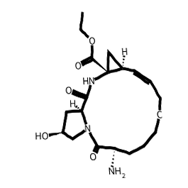 CCOC(=O)[C@@]12C[C@H]1/C=C\CCCCC[C@H](N)C(=O)N1C[C@@H](O)C[C@H]1C(=O)N2